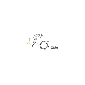 COc1ccc([C@@H]2CSC[C@@H]2C(=O)O)cc1